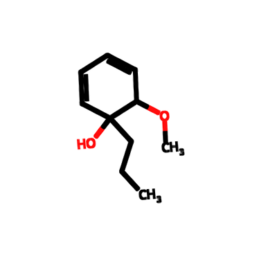 CCCC1(O)C=CC=CC1OC